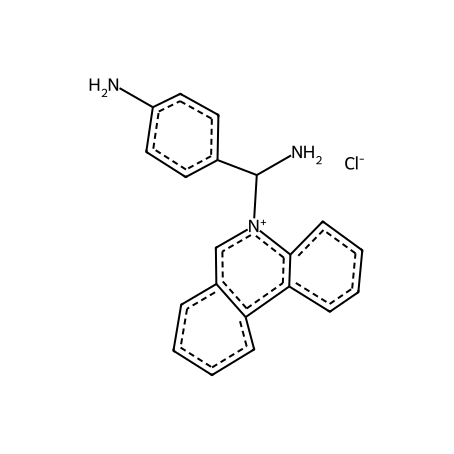 Nc1ccc(C(N)[n+]2cc3ccccc3c3ccccc32)cc1.[Cl-]